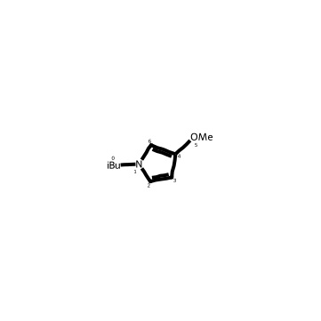 CCC(C)n1ccc(OC)c1